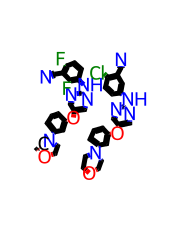 N#Cc1c(F)ccc(Nc2ncc(Oc3cccc(N4CCOCC4)c3)cn2)c1F.N#Cc1cc(Nc2ncc(Oc3cccc(N4CCOCC4)c3)cn2)ccc1Cl